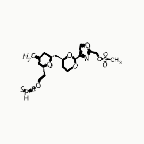 C=C1C[C@H](C[C@@H]2CCO[C@H](c3coc(COS(C)(=O)=O)n3)O2)O[C@@H](CCOB=[PH]=S)C1